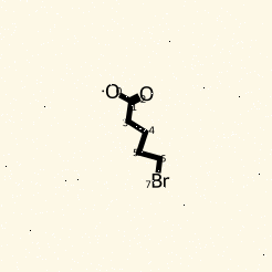 [O]C(=O)CCCCBr